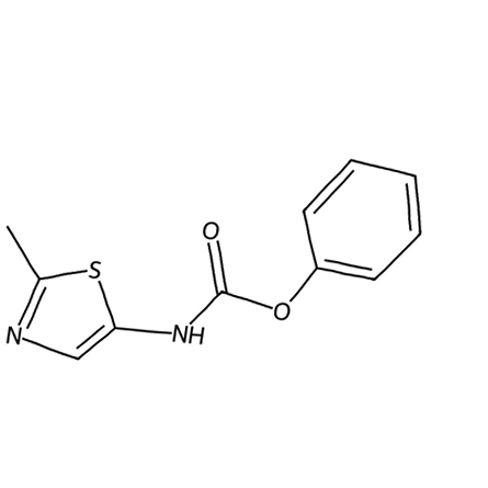 Cc1ncc(NC(=O)Oc2ccccc2)s1